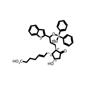 CC(C)(C)[Si](OC(CC[C@H]1C(=O)C[C@H](O)[C@@H]1CC=CCCCC(=O)O)c1cc2ccccc2s1)(c1ccccc1)c1ccccc1